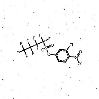 O=[N+]([O-])c1ccc(OS(=O)(=O)C(F)(F)C(F)(F)C(F)(F)C(F)(F)F)cc1Cl